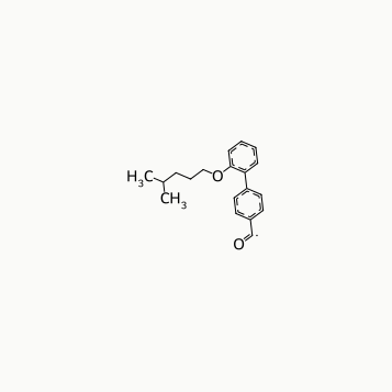 CC(C)CCCOc1ccccc1-c1ccc([C]=O)cc1